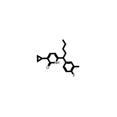 CCCCC(c1ccc(F)c(C)c1)c1ccc(C2CC2)c(=O)[nH]1